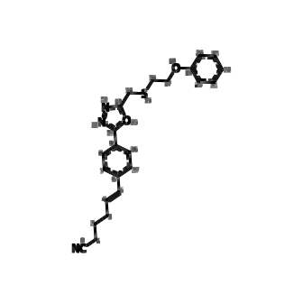 N#CCCC/C=C/c1ccc(-c2nnc(CSCCOc3ccccc3)o2)cc1